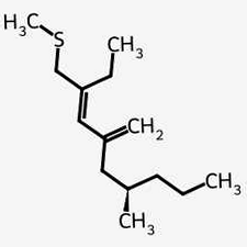 C=C(/C=C(\CC)CSC)C[C@H](C)CCC